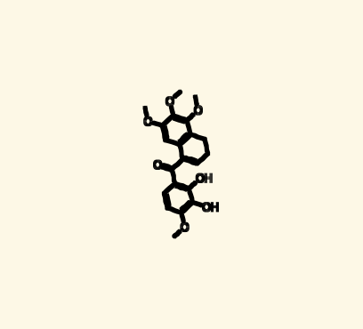 COc1ccc(C(=O)C2=CCCc3c2cc(OC)c(OC)c3OC)c(O)c1O